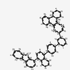 c1cc(-c2ccc(-c3ccc(-c4cccc5c4sc4ccccc45)c4ccccc34)cc2)cc(-c2cnc3c4ccccc4c4ccccc4c3n2)c1